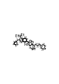 CCC(CC)n1c(Cc2cccs2)nc2cc(C(=O)N[C@@H](CC(C)C)C(=O)NCCCN3CCSCC3)ccc21